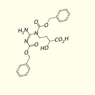 NC(=NC(=O)OCc1ccccc1)N(CCC(O)C(=O)O)C(=O)OCc1ccccc1